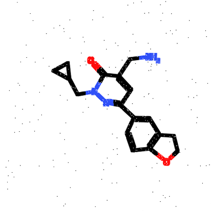 NCc1cc(-c2ccc3c(c2)CCO3)nn(CC2CC2)c1=O